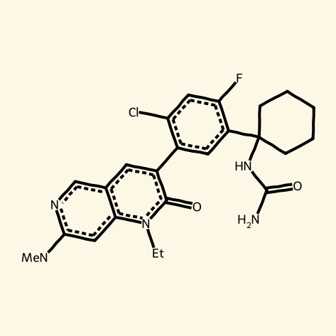 CCn1c(=O)c(-c2cc(C3(NC(N)=O)CCCCC3)c(F)cc2Cl)cc2cnc(NC)cc21